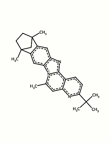 Cc1cc2nc(C(C)(C)C)ccc2c2nc3cc4c(cc3n12)C1(C)CCC4(C)C1